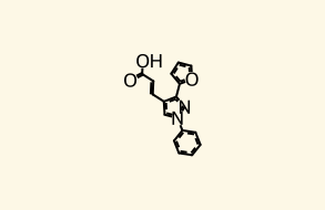 O=C(O)/C=C/c1cn(-c2ccccc2)nc1-c1ccco1